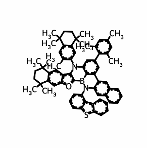 Cc1cc(C)c(-c2cc3c4c(c2)N(c2cc5c(cc2C)C(C)(C)CCC5(C)C)c2c(oc5cc6c(cc25)C(C)(C)CCC6(C)C)B4N(c2cccc4sc5ccccc5c24)c2cc4ccccc4cc2-3)c(C)c1